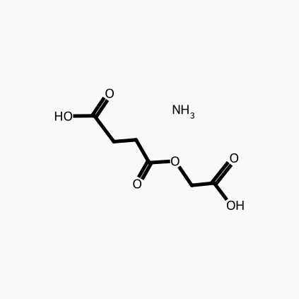 N.O=C(O)CCC(=O)OCC(=O)O